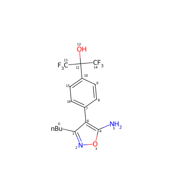 CCCCc1noc(N)c1-c1ccc(C(O)(C(F)(F)F)C(F)(F)F)cc1